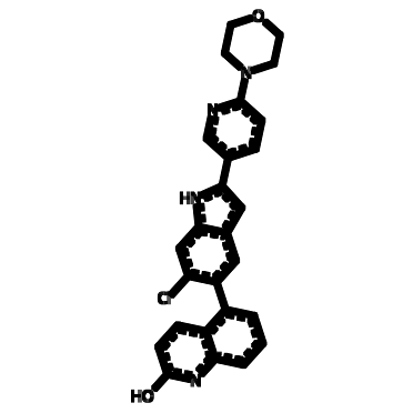 Oc1ccc2c(-c3cc4cc(-c5ccc(N6CCOCC6)nc5)[nH]c4cc3Cl)cccc2n1